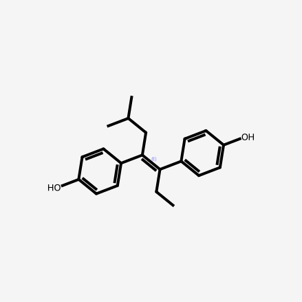 CC/C(=C(/CC(C)C)c1ccc(O)cc1)c1ccc(O)cc1